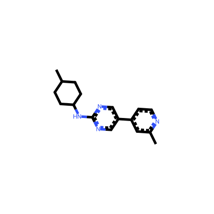 Cc1cc(-c2cnc(NC3CCC(C)CC3)nc2)ccn1